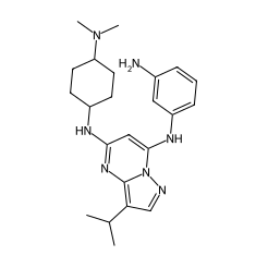 CC(C)c1cnn2c(Nc3cccc(N)c3)cc(NC3CCC(N(C)C)CC3)nc12